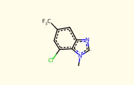 Cn1[c]nc2cc(C(F)(F)F)cc(Cl)c21